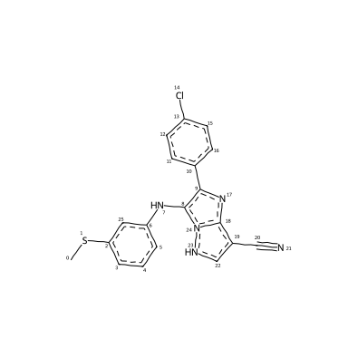 CSc1cccc(Nc2c(-c3ccc(Cl)cc3)nc3c(C#N)c[nH]n23)c1